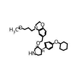 COCCCN1CCOc2ccc(CO[C@H]3CNCC[C@@H]3c3ccc(OC4CCCCC4)cc3)cc21